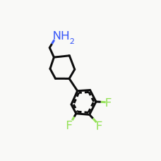 NCC1CCC(c2cc(F)c(F)c(F)c2)CC1